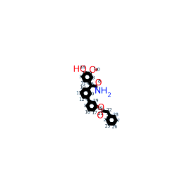 COc1cc(C(C(N)=O)c2cccc(-c3cccc(OC(=O)Cc4ccccc4)c3)c2)ccc1O